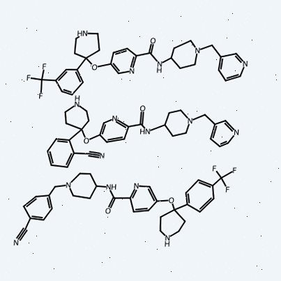 N#Cc1ccc(CN2CCC(NC(=O)c3ccc(OC4(c5ccc(C(F)(F)F)cc5)CCNCC4)cn3)CC2)cc1.N#Cc1ccccc1C1(Oc2ccc(C(=O)NC3CCN(Cc4cccnc4)CC3)nc2)CCNCC1.O=C(NC1CCN(Cc2cccnc2)CC1)c1ccc(OC2(c3cccc(C(F)(F)F)c3)CCNCC2)cn1